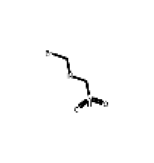 O=[SH](=O)CNCBr